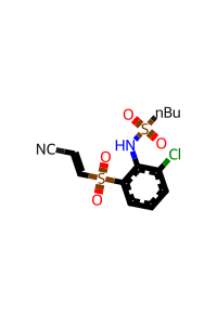 CCCCS(=O)(=O)Nc1c(Cl)cccc1S(=O)(=O)C=CC#N